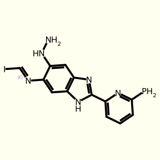 NNc1cc2nc(-c3cccc(P)n3)[nH]c2cc1/N=C/I